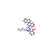 CCOC1CC(C2=CC3=C(C=CC4C=CC=CC34)C3C=CC=CC23)=NC(C2C=CC=CC2O)=N1